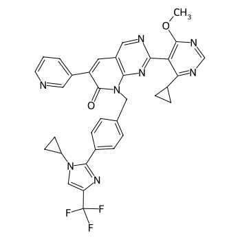 COc1ncnc(C2CC2)c1-c1ncc2cc(-c3cccnc3)c(=O)n(Cc3ccc(-c4nc(C(F)(F)F)cn4C4CC4)cc3)c2n1